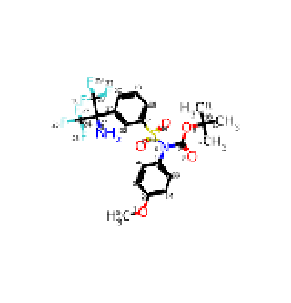 COc1ccc(N(C(=O)OC(C)(C)C)S(=O)(=O)c2cccc(C(N)(C(F)(F)F)C(F)(F)F)c2)cc1